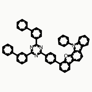 c1ccc(-c2cccc(-c3nc(-c4ccc(-c5cccc6c5oc5c6ccc6c7ccccc7n(-c7ccccc7)c65)cc4)nc(-c4cccc(-c5ccccc5)c4)n3)c2)cc1